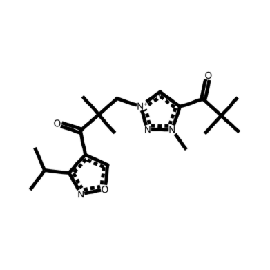 CC(C)c1nocc1C(=O)C(C)(C)C[n+]1cc(C(=O)C(C)(C)C)n(C)n1